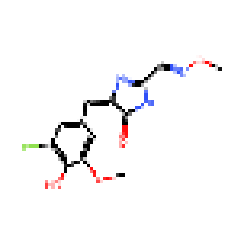 CON=CC1=NC(=Cc2cc(F)c(O)c(OC)c2)C(=O)N1